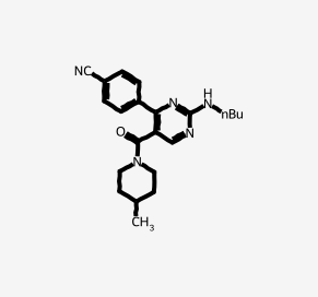 CCCCNc1ncc(C(=O)N2CCC(C)CC2)c(-c2ccc(C#N)cc2)n1